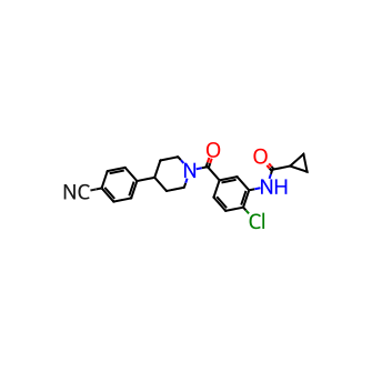 N#Cc1ccc(C2CCN(C(=O)c3ccc(Cl)c(NC(=O)C4CC4)c3)CC2)cc1